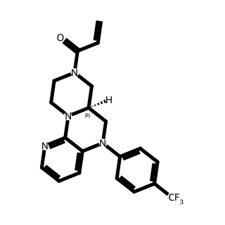 C=CC(=O)N1CCN2c3ncccc3N(c3ccc(C(F)(F)F)cc3)C[C@@H]2C1